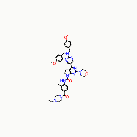 CCN1CCN(C(=O)c2ccc(NC(=O)N3CCc4c(-c5cnc(N(Cc6ccc(OC)cc6)Cc6ccc(OC)cc6)nc5)nc(N5CCOCC5)nc43)c(C)c2)CC1